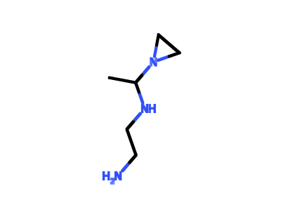 CC(NCCN)N1CC1